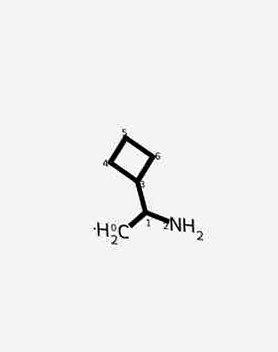 [CH2]C(N)C1CCC1